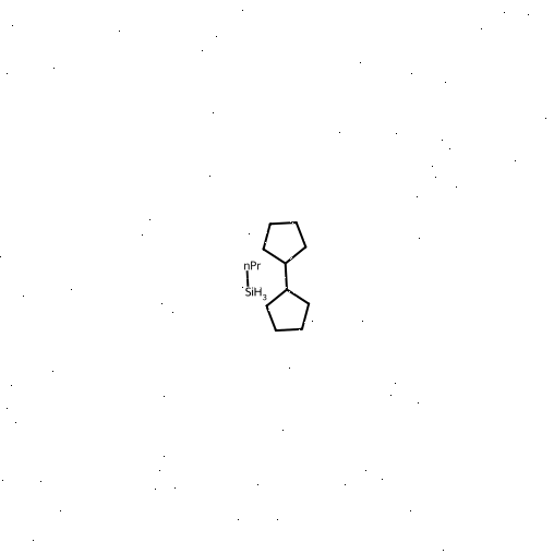 C1CCC(C2CCCC2)C1.CCC[SiH3]